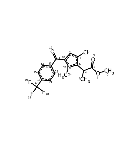 COC(=O)C(C)c1c(Cl)cc(C(=O)c2ccc(C(F)(F)F)cc2)n1C